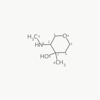 CNC1COCCC1(C)O